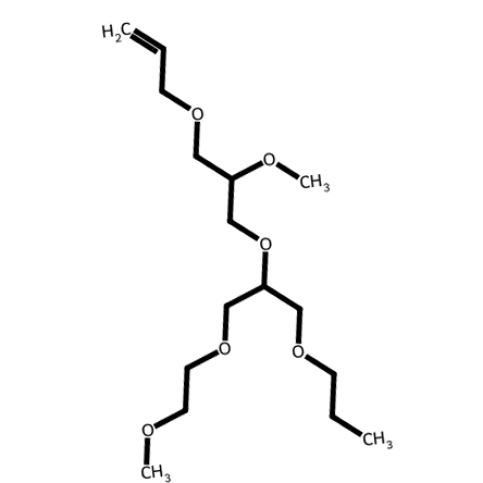 C=CCOCC(COC(COCCC)COCCOC)OC